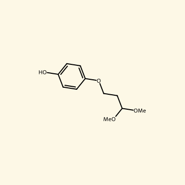 COC(CCOc1ccc(O)cc1)OC